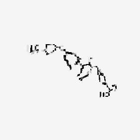 CC[C@H]1CC[C@H](Oc2ccc(-c3cccc(CN4CC(C(=O)O)C4)c3F)cc2)CC1